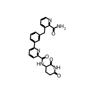 NC(=O)c1ncccc1Cc1cccc(-c2cccc(C(=O)NC3CCC(=O)NC3=O)n2)c1